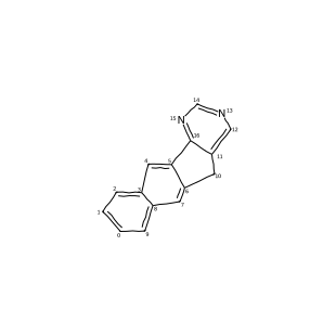 c1ccc2cc3c(cc2c1)Cc1cncnc1-3